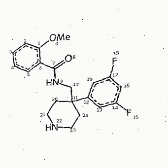 COc1ccccc1C(=O)NCC1(c2cc(F)cc(F)c2)CCNCC1